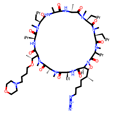 CC[C@@H]1NC(=O)[C@@H]2[C@@H]([C@H](C)CCCCN=[N+]=[N-])ON2C(=O)C(C(C)C)N(C)C(=O)[C@H](CC(C)C)N(C)C(=O)[C@H](CC(C)C)N(C)C(=O)[C@@H](C)NC(=O)C(C)NC(=O)[C@H](CC(C)C)N(C)C(=O)[C@H](C(C)C)NC(=O)C([C@@H](C)OCCCCN2CCOCC2)N(C)C(=O)[C@@H](C)N(C)C1=O